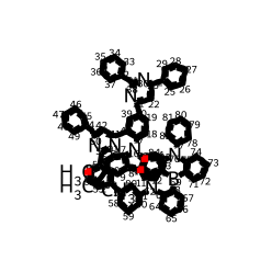 CC(C)(C)c1ccc2c(c1)c1ccccc1n2-c1ccc(-c2cc(-c3ccccc3)nc(-c3ccccc3)n2)cc1-c1cc(-c2ccccc2)nc(-c2cccc(-c3cccc(N4c5ccccc5B5c6ccccc6N(c6ccccc6)c6cccc4c65)c3)c2)n1